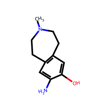 CN1CCc2cc(N)c(O)cc2CC1